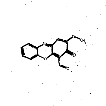 COc1cc2nc3ccccc3oc-2c(C=O)c1=O